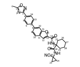 Cc1nc(-c2ccc(-c3ccc4cc(C(=O)NC5(C(=O)NC6(C#N)CC6)CCCCC5)oc4c3)cc2)no1